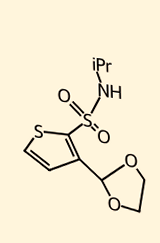 CC(C)NS(=O)(=O)c1sccc1C1OCCO1